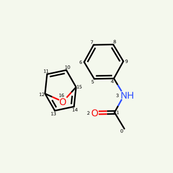 CC(=O)Nc1ccccc1.c1cc2ccc1o2